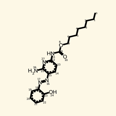 CCCCCCCCOC(=O)Nc1ccc(N=Nc2ccccc2O)c(N)n1